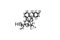 CCN(O)C(=O)CN(C(=O)OC(C)(C)C)c1ccccc1Sc1ccc(C)cc1C